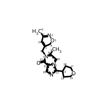 CC1=NOCC(Cn2c(C)cn3c(C4CCOCC4)ncc3c2=O)=C1